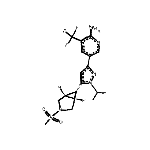 CC(C)n1nc(-c2cnc(N)c(C(F)(F)F)c2)cc1[C@@H]1[C@@H]2CN(S(C)(=O)=O)C[C@@H]21